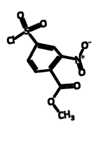 COC(=O)c1ccc(S(=O)(=O)Cl)cc1[N+](=O)[O-]